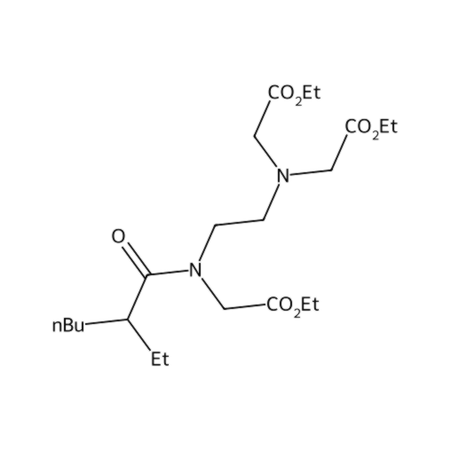 CCCCC(CC)C(=O)N(CCN(CC(=O)OCC)CC(=O)OCC)CC(=O)OCC